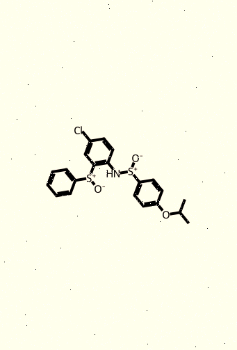 CC(C)Oc1ccc([S+]([O-])Nc2ccc(Cl)cc2[S+]([O-])c2ccccc2)cc1